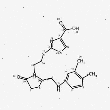 Cc1ccc(NC[C@H]2CCC(=O)N2CCSc2nc(C(=O)O)cs2)cc1C